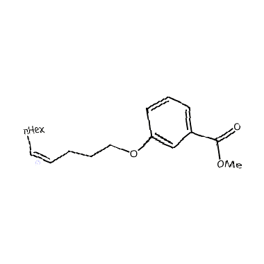 CCCCCC/C=C\CCCOc1cccc(C(=O)OC)c1